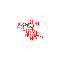 O=CC1C[C@H](O)CC(OC2C(Oc3cc(O)c4c(=O)cc(-c5ccc(O)c(O)c5)oc4c3)OC(C(=O)O)C(O)C2O)O1